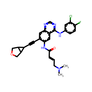 CN(C)CC=CC(=O)Nc1cc2c(Nc3ccc(F)c(Cl)c3)ncnc2cc1C#CC1C2COCC12